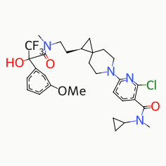 COc1cccc(C(O)(C(=O)N(C)CC[C@H]2CC23CCN(c2ccc(C(=O)N(C)C4CC4)c(Cl)n2)CC3)C(F)(F)F)c1